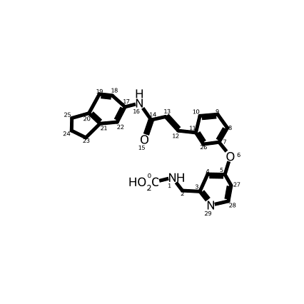 O=C(O)NCc1cc(Oc2cccc(C=CC(=O)Nc3ccc4c(c3)CCC4)c2)ccn1